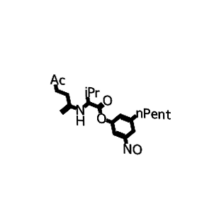 C=C(CCC(C)=O)NC(C(=O)OC1C=C(CCCCC)CC(N=O)=C1)C(C)C